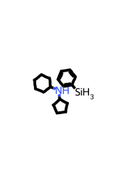 C1CCC(NC2CCCC2)CC1.[SiH3]c1ccccc1